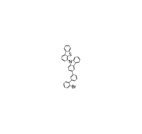 Brc1ccccc1-c1cccc(-c2ccc3c(c2)c2ccccc2n3-c2cccc3c2sc2ccccc23)c1